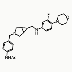 CC(=O)Nc1ccc(CN2CC3C(CNc4ccc(N5CCOCC5)c(F)c4)C3C2)cc1